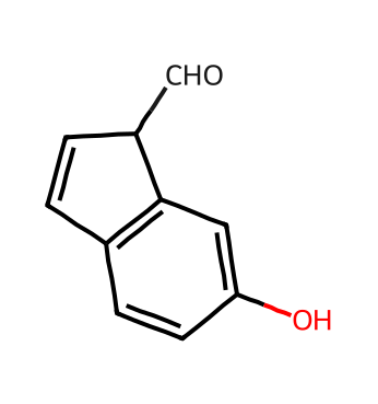 O=CC1C=Cc2ccc(O)cc21